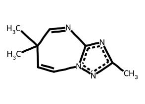 Cc1nc2n(n1)C=CC(C)(C)C=N2